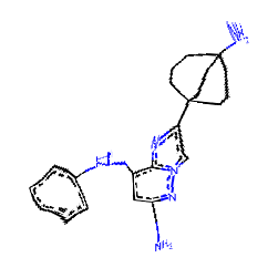 Nc1cc(Nc2ccccc2)c2nc(C34CCC(N)(CC3)CC4)cn2n1